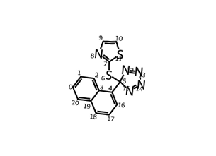 c1ccc2c(C3(Sc4nccs4)N=NN=N3)cccc2c1